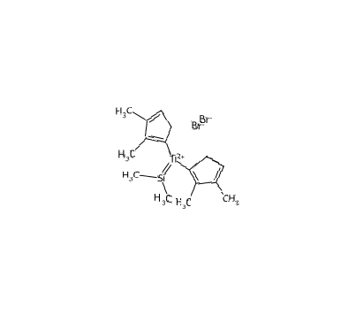 CC1=CC[C]([Ti+2]([C]2=C(C)C(C)=CC2)=[Si](C)C)=C1C.[Br-].[Br-]